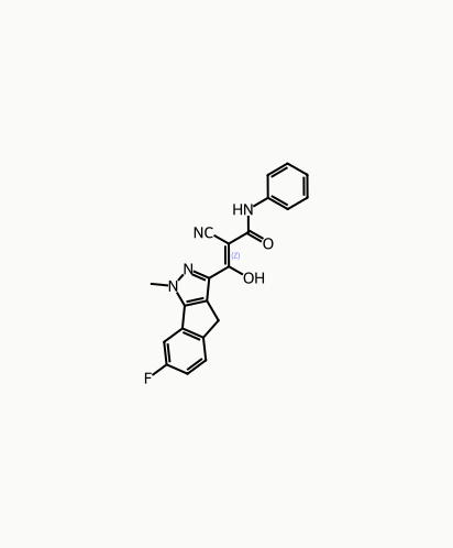 Cn1nc(/C(O)=C(\C#N)C(=O)Nc2ccccc2)c2c1-c1cc(F)ccc1C2